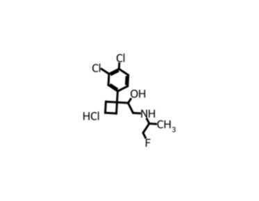 CC(CF)NCC(O)C1(c2ccc(Cl)c(Cl)c2)CCC1.Cl